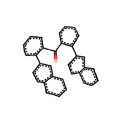 O=C(c1ccccc1-c1ccc2ccccc2c1)c1ccccc1-c1ccc2ccccc2c1